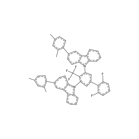 Cc1ccc(-c2ccc3c(c2)c2ccccc2n3-c2cc(-c3c(F)cccc3F)cc(-n3c4ccccc4c4cc(-c5ccc(C)cc5C)ccc43)c2C(F)(F)F)c(C)c1